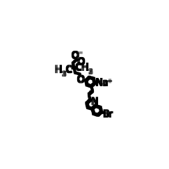 CC(C)(CCOc1cccc(C=Cc2ccc3ccc(Br)cc3n2)c1)CC(=O)[O-].[Na+]